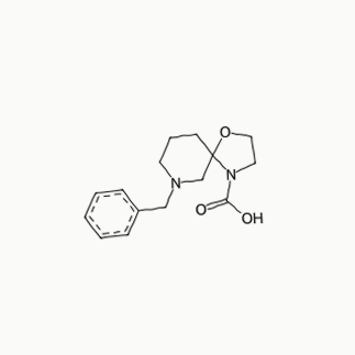 O=C(O)N1CCOC12CCCN(Cc1ccccc1)C2